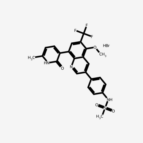 Br.COc1c(C(F)(F)F)cc(-c2ccc(C)[nH]c2=O)c2ncc(-c3ccc(NS(C)(=O)=O)cc3)cc12